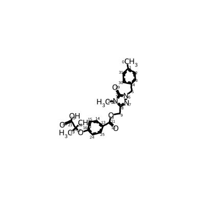 Cc1ccc(Cn2nc(COC(=O)c3ccc(OC(C)(C)C(=O)O)cc3)n(C)c2=O)cc1